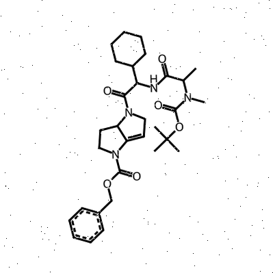 CC(C(=O)NC(C(=O)N1CC=C2C1CCN2C(=O)OCc1ccccc1)C1CCCCC1)N(C)C(=O)OC(C)(C)C